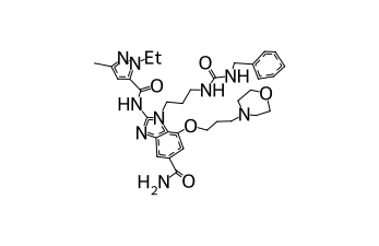 CCn1nc(C)cc1C(=O)Nc1nc2cc(C(N)=O)cc(OCCCN3CCOCC3)c2n1CCCNC(=O)NCc1ccccc1